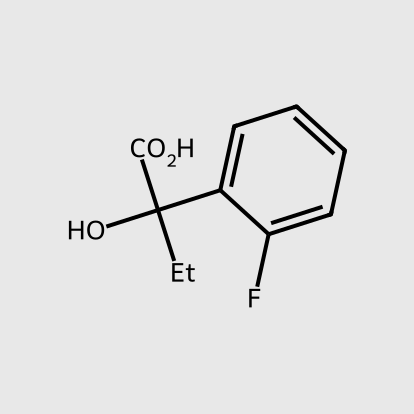 CCC(O)(C(=O)O)c1ccccc1F